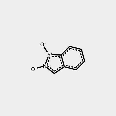 [O-][n+]1cc2ccccc2[s+]1[O-]